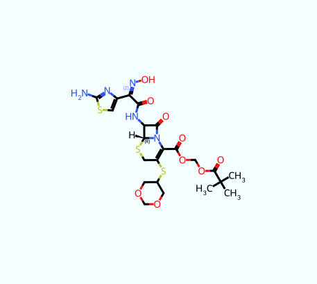 CC(C)(C)C(=O)OCOC(=O)C1=C(SC2COCOC2)CS[C@@H]2C(NC(=O)/C(=N\O)c3csc(N)n3)C(=O)N12